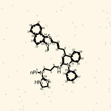 CCCN(CCCNC1=CC(CC=Cc2sc3c4ccccc4ccc3[n+]2C)c2ccccc2N1c1ccccc1)C1=NCCN1